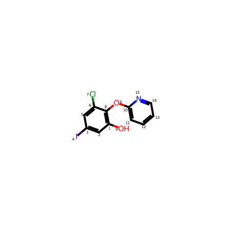 Oc1cc(I)cc(Cl)c1Oc1ccccn1